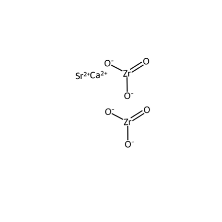 [Ca+2].[O]=[Zr]([O-])[O-].[O]=[Zr]([O-])[O-].[Sr+2]